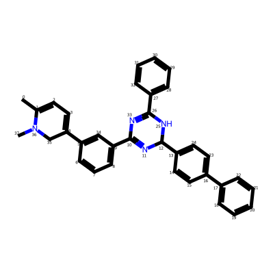 CC1=CC=C(c2cccc(C3=NC(c4ccc(-c5ccccc5)cc4)NC(c4ccccc4)=N3)c2)CN1C